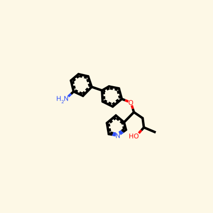 CC(O)CC(Oc1ccc(-c2cccc(N)c2)cc1)c1cccnc1